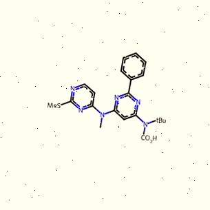 CSc1nccc(N(C)c2cc(N(C(=O)O)C(C)(C)C)nc(-c3ccccc3)n2)n1